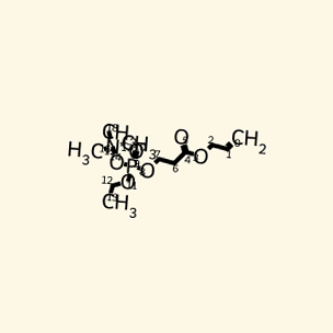 C=CCOC(=O)CCOP(=O)(OCC)O[N+](C)(C)C